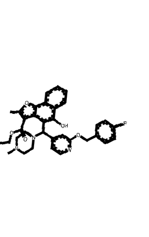 CCOC(=O)c1c(C)oc2c1c(C(c1ccnc(OCc3ccc(F)cc3)c1)N1CCN(C)CC1)c(O)c1ccccc12